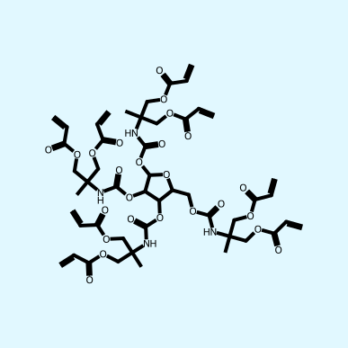 C=CC(=O)OCC(C)(COC(=O)C=C)NC(=O)OCC1OC(OC(=O)NC(C)(COC(=O)C=C)COC(=O)C=C)C(OC(=O)NC(C)(COC(=O)C=C)COC(=O)C=C)C1OC(=O)NC(C)(COC(=O)C=C)COC(=O)C=C